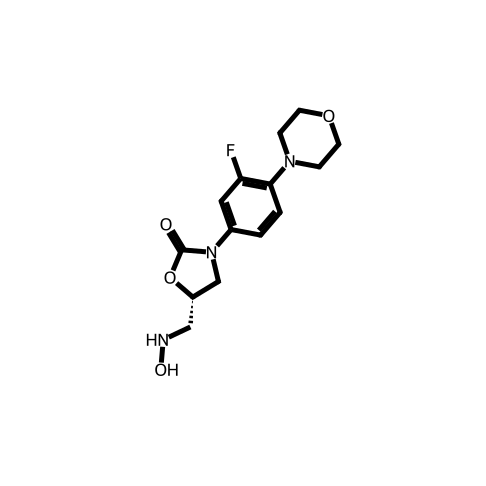 O=C1O[C@@H](CNO)CN1c1ccc(N2CCOCC2)c(F)c1